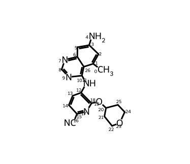 Cc1cc(N)cc2ncnc(Nc3ccc(C#N)nc3OC3CCOCC3)c12